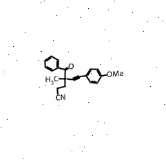 COc1ccc(C#CC(C)(CCC#N)C(=O)c2ccccc2)cc1